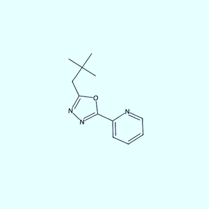 CC(C)(C)Cc1nnc(-c2ccccn2)o1